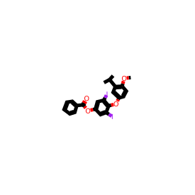 COc1ccc(Oc2c(I)cc(OC(=O)c3ccccc3)cc2I)cc1C(C)C